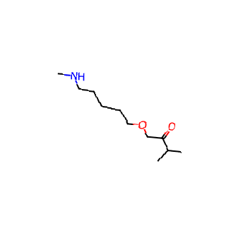 CNCCCCCOCC(=O)C(C)C